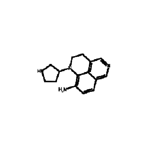 Nc1ccc2cncc3c2c1N(C1CCNC1)CC3